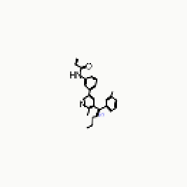 C=CC(=O)Nc1cccc(-c2cnc(C)c(/C(=C\CCC)c3cccc(C)c3)c2)c1